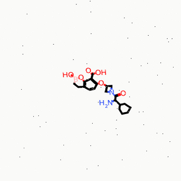 NC(C(=O)N1CC(Oc2ccc3c(c2C(=O)O)OB(O)CC3)C1)C1CCCCC1